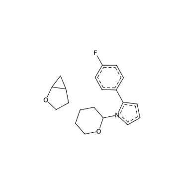 C1CC2CC2O1.Fc1ccc(-c2cccn2C2CCCCO2)cc1